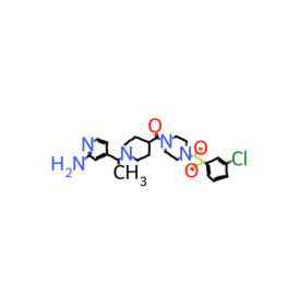 CC(c1ccnc(N)c1)N1CCC(C(=O)N2CCN(S(=O)(=O)c3cccc(Cl)c3)CC2)CC1